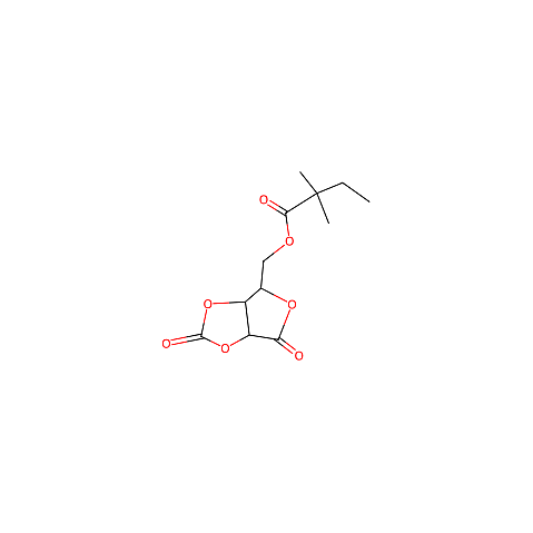 CCC(C)(C)C(=O)OCC1OC(=O)C2OC(=O)OC12